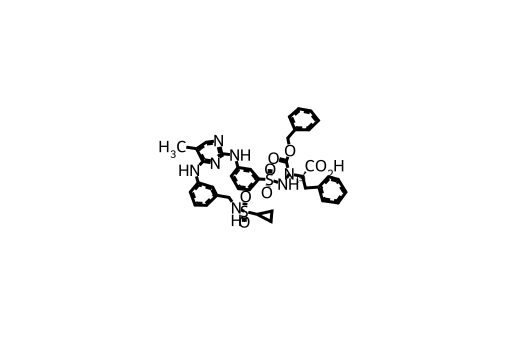 Cc1cnc(Nc2cccc(S(=O)(=O)NN(C(=O)OCc3ccccc3)[C@@H](Cc3ccccc3)C(=O)O)c2)nc1Nc1cccc(CNS(=O)(=O)C2CC2)c1